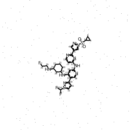 O=S(=O)(C1CC1)n1cc(-c2nccc(Nc3cc(NC4CCCC(NCCF)C4)c(-c4ccn(C(F)F)n4)cn3)n2)cn1